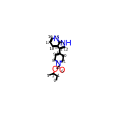 CCC(C)OC(=O)N1CC=C(c2c[nH]c3ncccc23)CC1